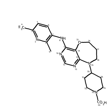 Cc1nc(C(F)(F)F)ccc1Nc1ncnc2c1OCCCN2C1CCN(C(=O)O)CC1